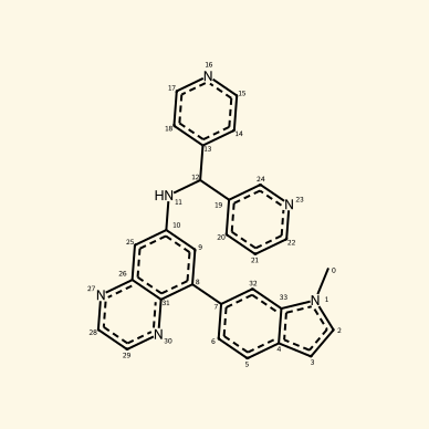 Cn1ccc2ccc(-c3cc(NC(c4ccncc4)c4cccnc4)cc4nccnc34)cc21